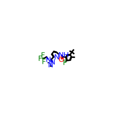 Cc1cc(F)c(C(=O)Nc2cccc(C3=NN(C)CN3CC(F)(F)F)n2)cc1C(C)(C)C